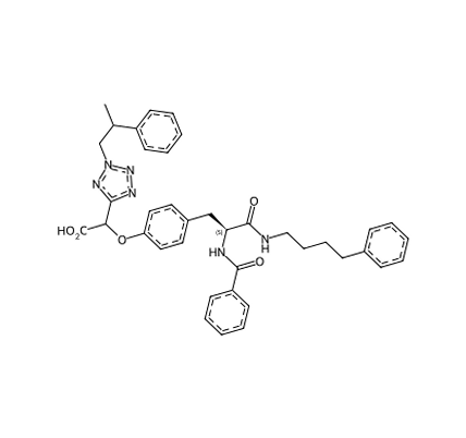 CC(Cn1nnc(C(Oc2ccc(C[C@H](NC(=O)c3ccccc3)C(=O)NCCCCc3ccccc3)cc2)C(=O)O)n1)c1ccccc1